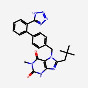 Cn1c(=O)[nH]c2nc(CC(C)(C)C)n(Cc3ccc(-c4ccccc4-c4nnn[nH]4)cc3)c2c1=O